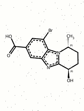 C[C@@H]1CC[C@@H](O)c2nc3cc(C(=O)O)cc(Br)c3n21